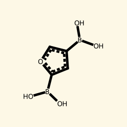 OB(O)c1coc(B(O)O)c1